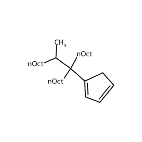 CCCCCCCCC(C)C(CCCCCCCC)(CCCCCCCC)C1=CC=CC1